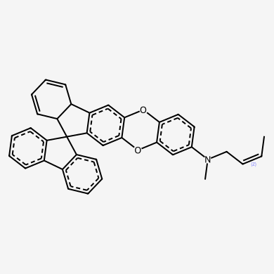 C/C=C\CN(C)c1ccc2c(c1)Oc1cc3c(cc1O2)C1C=CC=CC1C31c2ccccc2-c2ccccc21